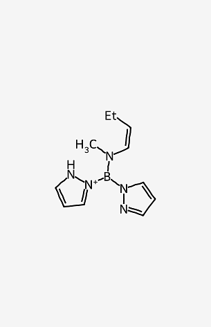 CC/C=C\N(C)B(n1cccn1)[n+]1ccc[nH]1